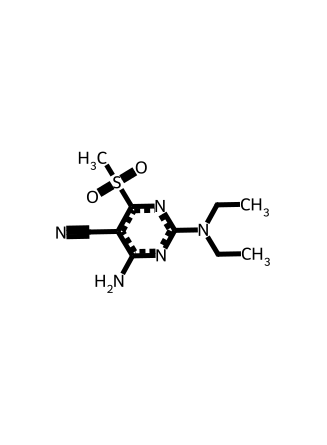 CCN(CC)c1nc(N)c(C#N)c(S(C)(=O)=O)n1